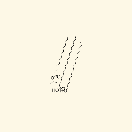 CCCCCCCCCCCCCC(=O)OC(C)C.CCCCCCCCCCCCCCCCCC(=O)O.CCCCCCCCCCCCCCCCO